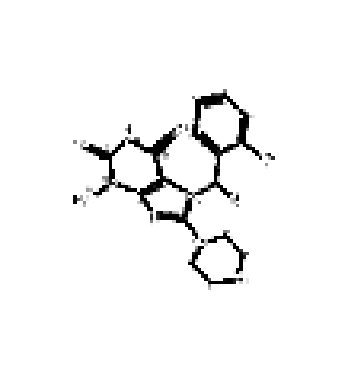 CCCC(c1ccccc1C#N)n1c(N2CCNCC2)nc2c1c(=O)[nH]c(=O)n2C